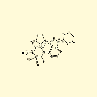 CC1N(c2ncnc3c2c(N2CCCC2)cn3C2CCCCC2)C(F)C(F)N(C(=O)O)C1(F)C(C)(C)C